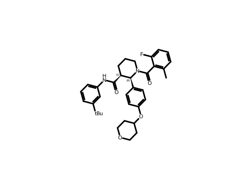 Cc1cccc(F)c1C(=O)N1CCC[C@H](C(=O)Nc2cccc(C(C)(C)C)c2)[C@@H]1c1ccc(OC2CCOCC2)cc1